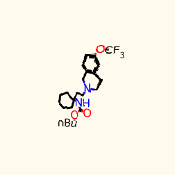 CCCCOC(=O)NC1(CCN2CCc3cc(OC(F)(F)F)ccc3C2)CCCCC1